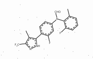 Cc1cccc(F)c1N(C=O)c1ccc(-c2[nH]nc(C(F)(F)F)c2C)c(F)c1